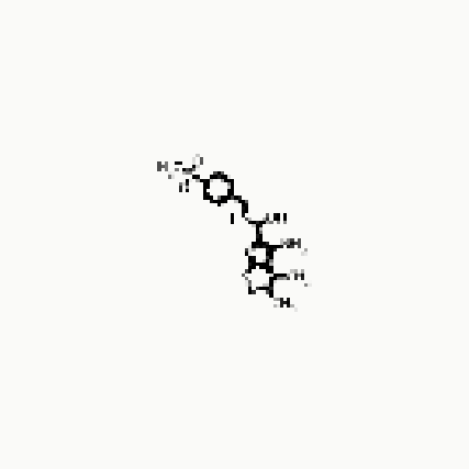 Cc1nnc2sc(C(O)NCc3ccc(S(C)(=O)=O)cc3)c(N)c2c1C